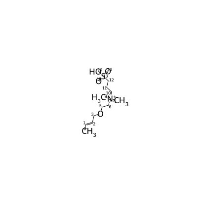 C/C=C/COCC[N+](C)(C)CCCS(=O)(=O)O